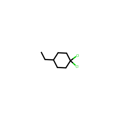 CCC1CCC(Cl)(Cl)CC1